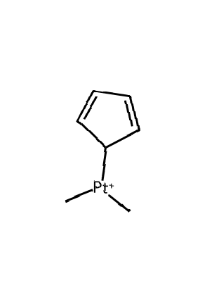 [CH3][Pt+]([CH3])[CH]1C=CC=C1